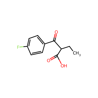 CCC(C(=O)O)C(=O)c1ccc(F)cc1